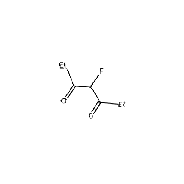 CCC(=O)C(F)C(=O)CC